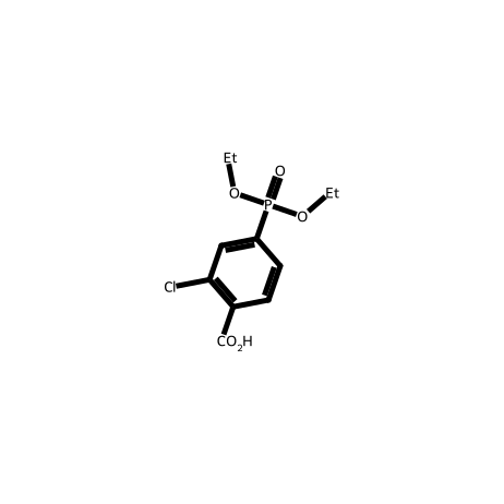 CCOP(=O)(OCC)c1ccc(C(=O)O)c(Cl)c1